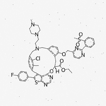 CCOC(=O)[C@H]1Cc2cc(ccc2OCc2ccnc(-c3ccccc3S(C)(=O)=O)n2)CN(CCN2CCN(C)CC2)Cc2ccc(c(C)c2Cl)-c2c(-c3ccc(F)cc3)sc3ncnc(c23)O1